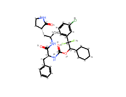 O=C[C@H](C[C@@H]1CCNC1=O)NC(=O)[C@H](Cc1ccccc1)NC(=O)OC(C1CCCCC1)C(F)(F)c1cccc(Cl)c1